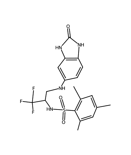 Cc1cc(C)c(S(=O)(=O)NC(CNc2ccc3[nH]c(=O)[nH]c3c2)C(F)(F)F)c(C)c1